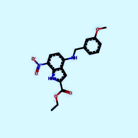 CCOC(=O)c1cc2c(NCc3cccc(OC)c3)ccc([N+](=O)[O-])c2[nH]1